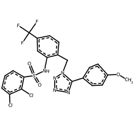 COc1ccc(-c2nnnn2Cc2ccc(C(F)(F)F)cc2NS(=O)(=O)c2cccc(Cl)c2Cl)cc1